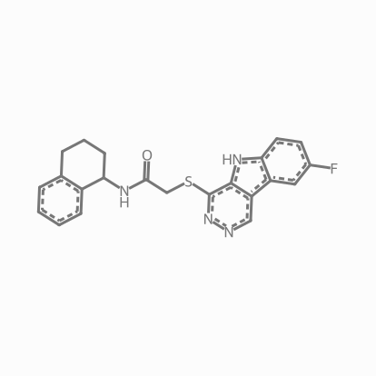 O=C(CSc1nncc2c1[nH]c1ccc(F)cc12)NC1CCCc2ccccc21